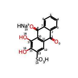 O=C1c2ccccc2C(=O)c2c1cc(S(=O)(=O)O)c(O)c2O.[NaH]